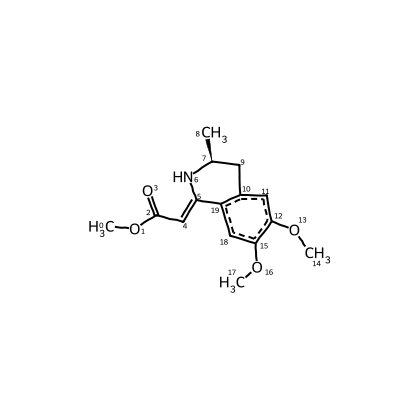 COC(=O)C=C1N[C@@H](C)Cc2cc(OC)c(OC)cc21